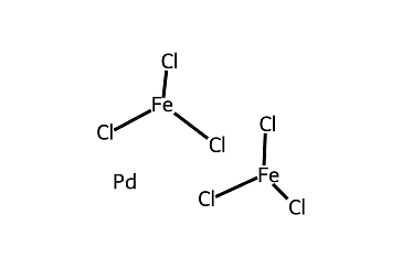 [Cl][Fe]([Cl])[Cl].[Cl][Fe]([Cl])[Cl].[Pd]